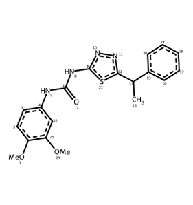 COc1ccc(NC(=O)Nc2nnc(C(C)c3ccccc3)s2)cc1OC